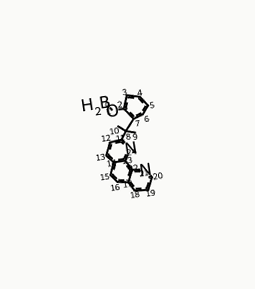 BOc1ccccc1C(C)(C)c1ccc2ccc3cccnc3c2n1